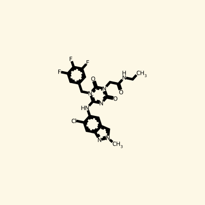 CCNC(=O)Cn1c(=O)nc(Nc2cc3cn(C)nc3cc2Cl)n(Cc2cc(F)c(F)c(F)c2)c1=O